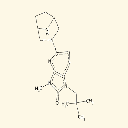 Cn1c(=O)n(CC(C)(C)C)c2ccc(N3CC4CCC(C3)N4)nc21